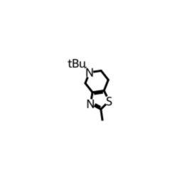 Cc1nc2c(s1)CCN(C(C)(C)C)C2